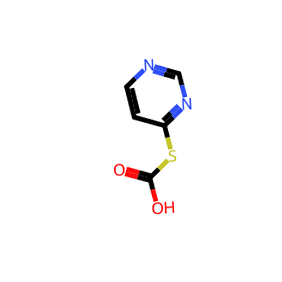 O=C(O)Sc1ccncn1